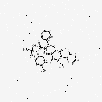 Cc1ccccc1Cn1c(C)c(-c2ccccc2F)c(=O)n(C[C@@H](NC(=O)OC(C)(C)C)c2ccccc2)c1=O